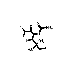 CC(C)(CF)C(F)C(OC(N)=O)C(=O)C(F)I